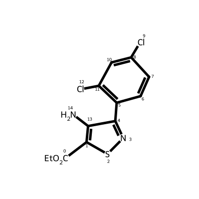 CCOC(=O)c1snc(-c2ccc(Cl)cc2Cl)c1N